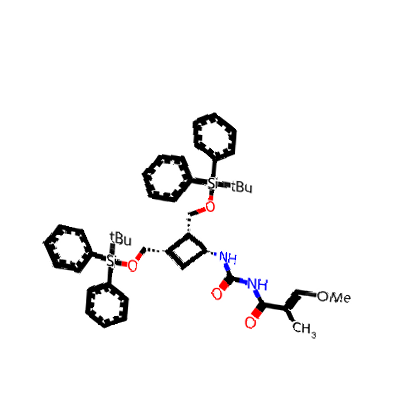 COC=C(C)C(=O)NC(=O)N[C@@H]1C[C@H](CO[Si](c2ccccc2)(c2ccccc2)C(C)(C)C)[C@@H]1CO[Si](c1ccccc1)(c1ccccc1)C(C)(C)C